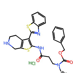 CCC(C)N(CCC(=O)Nc1sc2c(c1-c1nc3ccccc3s1)CCNC2)C(=O)OCc1ccccc1.Cl